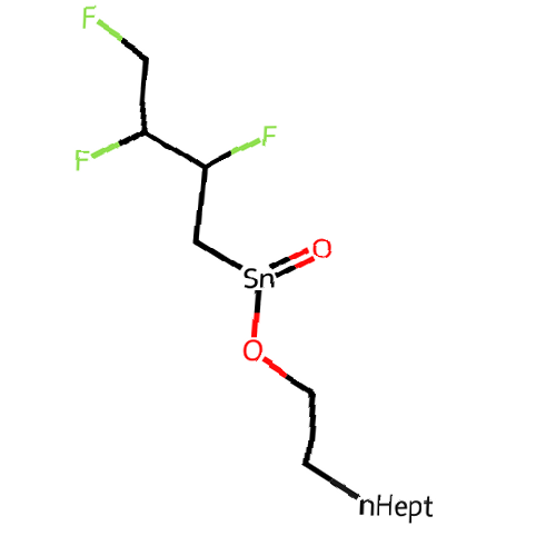 CCCCCCCCC[O][Sn](=[O])[CH2]C(F)C(F)CF